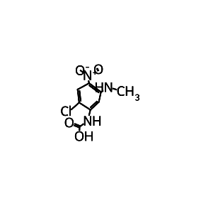 CNc1cc(NC(=O)O)c(Cl)cc1[N+](=O)[O-]